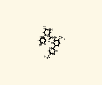 Cc1cnc(-c2ccc(C)c(NC(=O)C3=CNC(=O)C[C@H]3c3ccc(F)cc3)c2)cn1